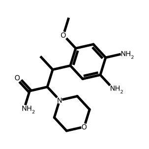 COc1cc(N)c(N)cc1C(C)C(C(N)=O)N1CCOCC1